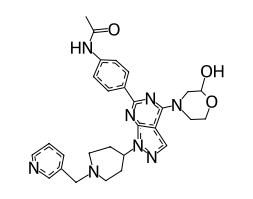 CC(=O)Nc1ccc(-c2nc(N3CCOC(O)C3)c3cnn(C4CCN(Cc5cccnc5)CC4)c3n2)cc1